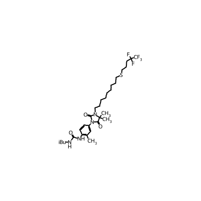 CCC(C)NC(=O)Nc1ccc(N2C(=O)N(CCCCCCCCCSCCCC(F)(F)C(F)(F)F)C(C)(C)C2=O)cc1C